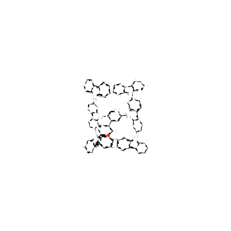 N#Cc1ccc(-c2cc(-n3c4cc(-n5c6ccccc6c6ccccc65)ccc4c4ccc(-n5c6ccccc6c6ccccc65)cc43)ncc2-n2c3cc(-n4c5ccccc5c5ccccc54)ccc3c3ccc(-n4c5ccccc5c5ccccc54)cc32)cc1